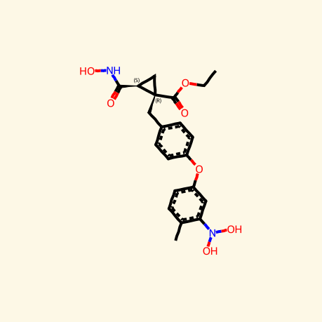 CCOC(=O)[C@@]1(Cc2ccc(Oc3ccc(C)c(N(O)O)c3)cc2)C[C@@H]1C(=O)NO